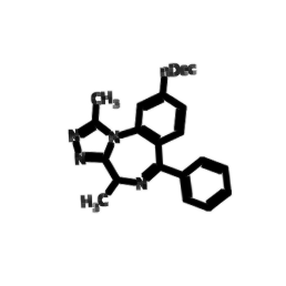 CCCCCCCCCCc1ccc2c(c1)-n1c(C)nnc1C(C)N=C2c1ccccc1